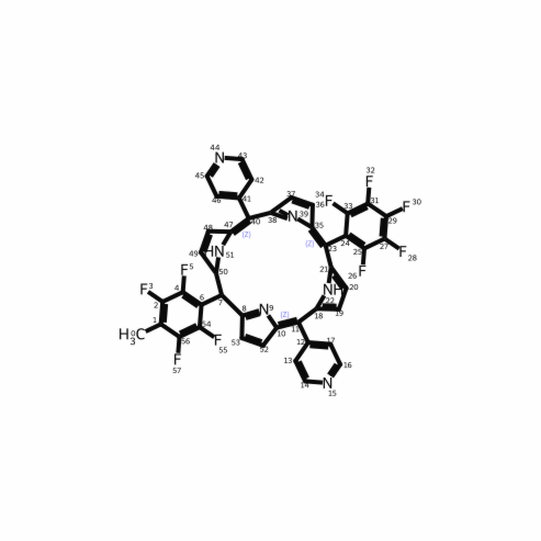 Cc1c(F)c(F)c(C2C3=N/C(=C(/c4ccncc4)c4ccc([nH]4)/C(c4c(F)c(F)c(F)c(F)c4F)=C4/C=CC(=N4)/C(c4ccncc4)=C4/C=CC2N4)C=C3)c(F)c1F